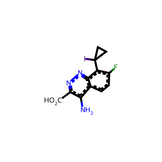 Nc1c(C(=O)O)nnc2c(C3(I)CC3)c(F)ccc12